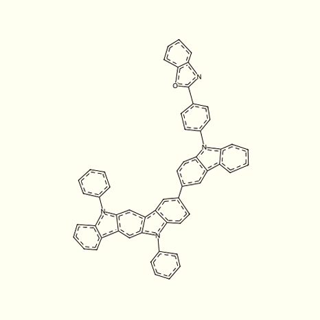 c1ccc(-n2c3ccccc3c3cc4c(cc32)c2cc(-c3ccc5c(c3)c3ccccc3n5-c3ccc(-c5nc6ccccc6o5)cc3)ccc2n4-c2ccccc2)cc1